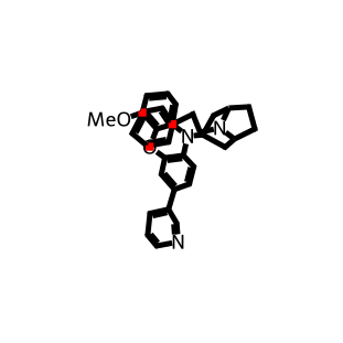 COc1cccc2c1Oc1cc(-c3cccnc3)ccc1N2C1CC2CCC(C1)N2CCc1ccccc1